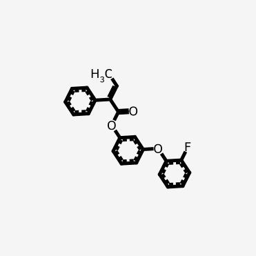 CC=C(C(=O)Oc1cccc(Oc2ccccc2F)c1)c1ccccc1